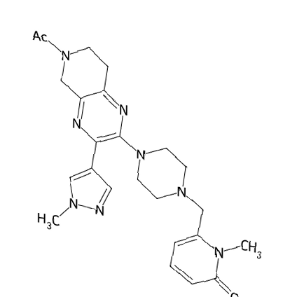 CC(=O)N1CCc2nc(N3CCN(Cc4cccc(=O)n4C)CC3)c(-c3cnn(C)c3)nc2C1